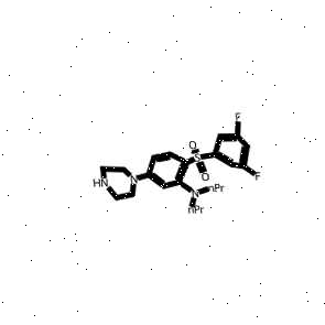 CCCN(CCC)c1cc(N2CCNCC2)ccc1S(=O)(=O)c1cc(F)cc(F)c1